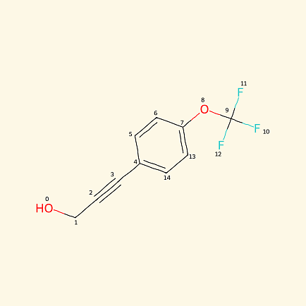 OCC#Cc1ccc(OC(F)(F)F)cc1